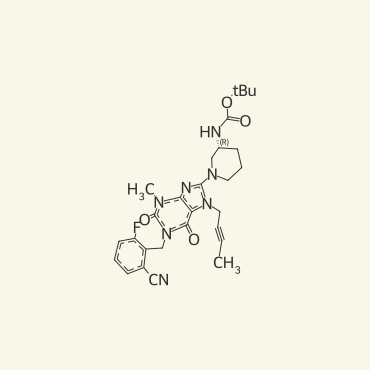 CC#CCn1c(N2CCC[C@@H](NC(=O)OC(C)(C)C)C2)nc2c1c(=O)n(Cc1c(F)cccc1C#N)c(=O)n2C